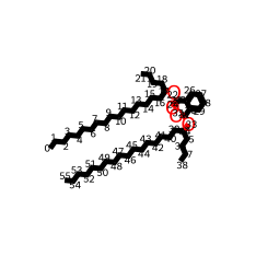 CCCCCCCCCCCCCCCCCC(CCCC)OC(=O)c1ccccc1C(=O)OC(CCCC)CCCCCCCCCCCCCCCCC